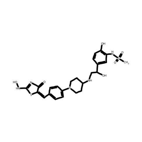 CS(=O)(=O)Nc1cc(C(O)CNC2CCN(c3ccc(C=C4SC(NO)=NC4=O)cc3)CC2)ccc1O